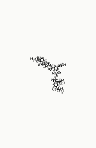 CCC(C)(C)c1ccc(OCCCNC(=O)c2cc(SOO)cc(C(=O)NCCCOc3ccc(C(C)(C)CC)cc3C(C)(C)CC)c2)c(C(C)(C)CC)c1